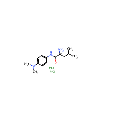 CC(C)C[C@H](N)C(=O)Nc1ccc(N(C)C)cc1.Cl.Cl